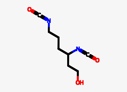 O=C=NCCCC(CCO)N=C=O